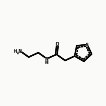 NCCNC(=O)Cc1ccsc1